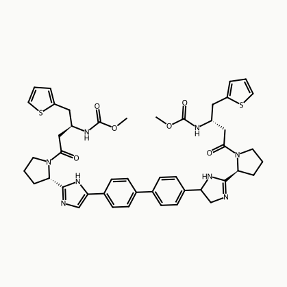 COC(=O)N[C@@H](CC(=O)N1CCC[C@H]1C1=NCC(c2ccc(-c3ccc(-c4cnc([C@@H]5CCCN5C(=O)C[C@@H](Cc5cccs5)NC(=O)OC)[nH]4)cc3)cc2)N1)Cc1cccs1